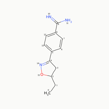 CCC1CC(c2ccc(C(=N)N)cc2)=NO1